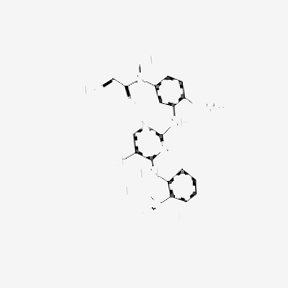 C=CC(=O)N(C)c1ccc(OC)c(Nc2ncc(Cl)c(Nc3ccccc3P(C)(C)=O)n2)c1